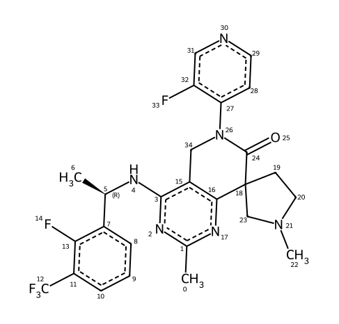 Cc1nc(N[C@H](C)c2cccc(C(F)(F)F)c2F)c2c(n1)C1(CCN(C)C1)C(=O)N(c1ccncc1F)C2